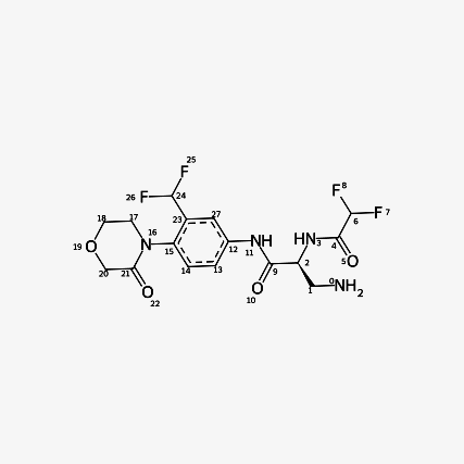 NC[C@H](NC(=O)C(F)F)C(=O)Nc1ccc(N2CCOCC2=O)c(C(F)F)c1